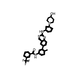 Cc1ccc(NC(=O)c2cccc(C(F)(F)F)c2)cc1-c1ccc2nc(Nc3cccc(N4CCC(O)CC4)c3)ncc2c1